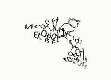 C=C(/C=C(\C=C/C)c1cnc(NC(C(=O)OC)P(=O)(OCC)OCC)c(Cc2ccccc2)n1)O[Si](C)(C)C(C)(C)C